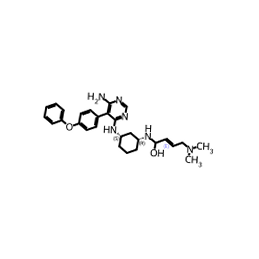 CN(C)C/C=C/C(O)N[C@@H]1CCC[C@H](Nc2ncnc(N)c2-c2ccc(Oc3ccccc3)cc2)C1